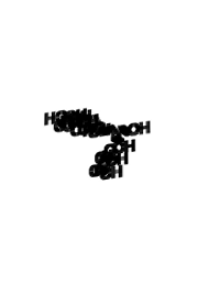 O=P(O)(O)OP(=O)(O)O.O=[N+]([O-])O.O=[N+]([O-])O.O=[N+]([O-])O.OCCN(CCO)CCO